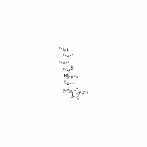 CNCC(C)CC(C)CC(=O)NC(C)CC(C)C(=O)N1CC[C@@H](O)C1